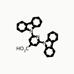 O=C(O)c1cc(-n2c3ccccc3c3ccccc32)nc(-n2c3ccccc3c3ccccc32)c1